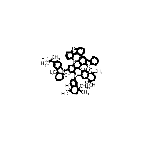 CC(C)(C)c1ccc2c(c1)C1(C)CCCCC1(C)N2c1cc2c3c(c1)N(c1cccc4oc5ccccc5c14)c1ccc4c(oc5ccccc54)c1B3c1cc3c(cc1N2c1ccc2c(c1)C(C)(C)CCC2(C)C)C(C)(C)CCC3(C)C